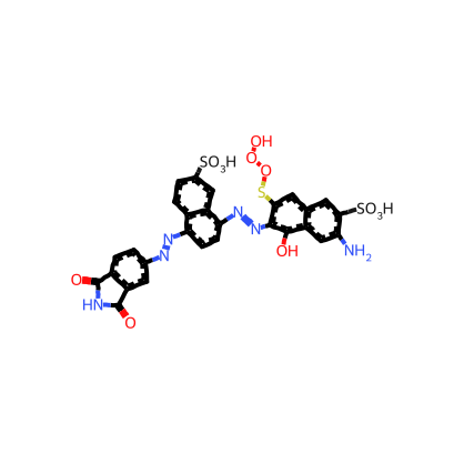 Nc1cc2c(O)c(/N=N/c3ccc(/N=N/c4ccc5c(c4)C(=O)NC5=O)c4ccc(S(=O)(=O)O)cc34)c(SOOO)cc2cc1S(=O)(=O)O